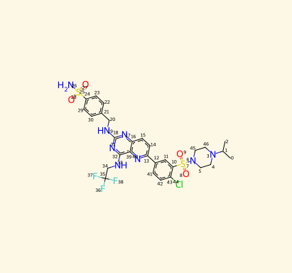 CC(C)N1CCN(S(=O)(=O)c2cc(-c3ccc4nc(NCc5ccc(S(N)(=O)=O)cc5)nc(NCC(F)(F)F)c4n3)ccc2Cl)CC1